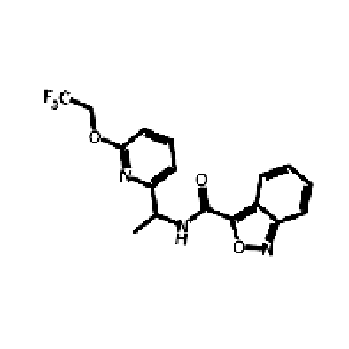 CC(NC(=O)c1onc2ccccc12)c1cccc(OCC(F)(F)F)n1